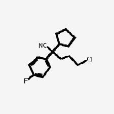 N#CC(CCCCl)(c1ccc(F)cc1)C1CCCC1